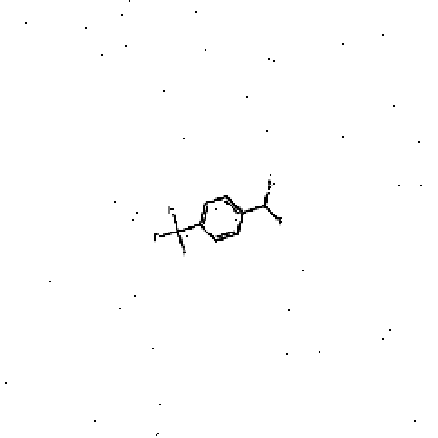 FC(Br)c1ccc(C(F)(F)F)cc1